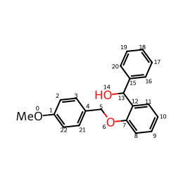 COc1ccc(COc2ccccc2C(O)c2ccccc2)cc1